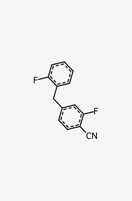 N#Cc1ccc(Cc2ccccc2F)cc1F